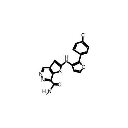 NC(=O)c1nncc2cc(Nc3ccoc3-c3ccc(Cl)cc3)sc12